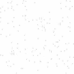 Cc1cc(/C=C/C(=O)N2CCN(Cc3ccc(COc4ccc(C(C)C)cc4)cc3)CC2)cc(Cl)c1Oc1ccc(OCc2ccccc2Cl)cn1.Cl